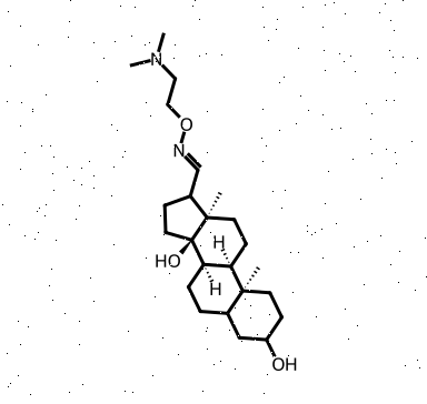 CN(C)CCO/N=C/C1CC[C@@]2(O)[C@@H]3CCC4CC(O)CC[C@]4(C)[C@@H]3CC[C@]12C